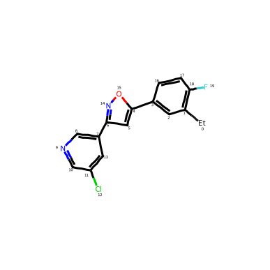 CCc1cc(-c2cc(-c3cncc(Cl)c3)no2)ccc1F